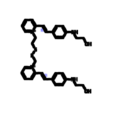 OCCNc1ccc(/C=C/c2cccc[n+]2CCSSC[n+]2ccccc2/C=C/c2ccc(NCCO)cc2)cc1